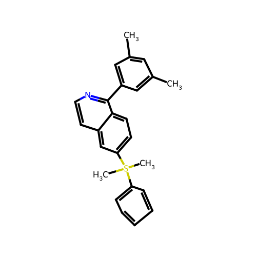 Cc1cc(C)cc(-c2nccc3cc(S(C)(C)c4ccccc4)ccc23)c1